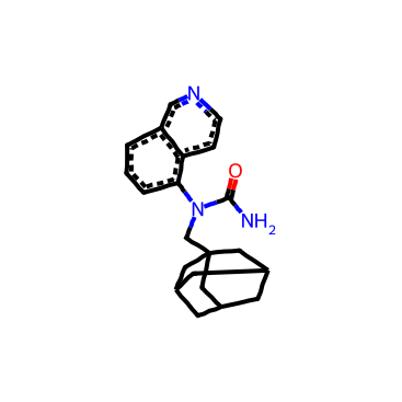 NC(=O)N(CC12CC3CC(CC(C3)C1)C2)c1cccc2cnccc12